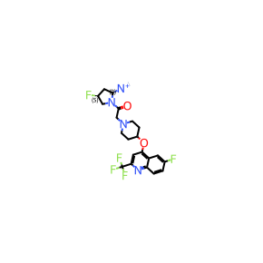 C#[N+][C@@H]1C[C@H](F)CN1C(=O)CN1CCC(Oc2cc(C(F)(F)F)nc3ccc(F)cc23)CC1